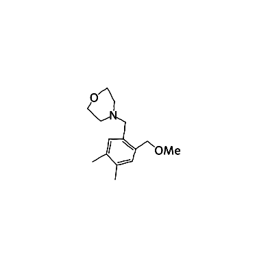 COCc1cc(C)c(C)cc1CN1CCOCC1